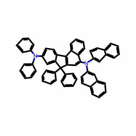 c1ccc(N(c2ccccc2)c2ccc3c(c2)C(c2ccccc2)(c2ccccc2)c2cc(N(c4ccc5ccccc5c4)c4ccc5ccccc5c4)c4ccccc4c2-3)cc1